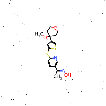 COC1(c2csc(Sc3ccc(C(C)=NO)cn3)c2)CCOCC1